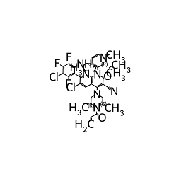 C=CC(=O)N1[C@H](C)CN(c2c(C#N)c(=O)n(C3=C(C)C=CN(C)[C@@H]3C(C)C)c3nc(-c4c(N)c(F)c(F)c(Cl)c4F)c(Cl)cc23)C[C@@H]1C